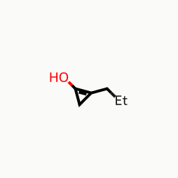 CCCC1=C(O)C1